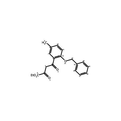 CCOC(=O)C(=O)CC(=O)c1cc(C)ccc1OCc1ccccc1